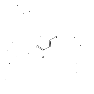 [O]C=CC([O])=O